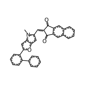 Cn1c(C=C2C(=O)c3cc4ccccc4cc3C2=O)cc2oc(-c3ccccc3-c3ccccc3)cc21